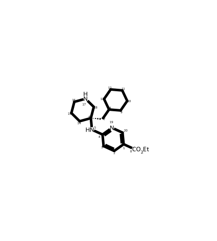 CCOC(=O)c1ccc(N[C@@]2(CC3CCCCC3)CCCNC2)nc1